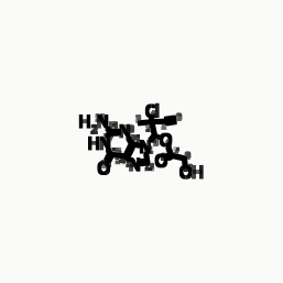 C#CC(C)(Cl)[C@@H](OC(=O)CO)n1cnc2c(=O)[nH]c(N)nc21